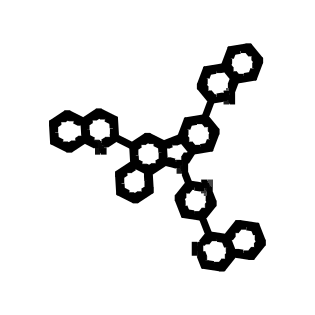 c1ccc2nc(-c3ccc4c(c3)c3cc(-c5ccc6ccccc6n5)c5ccccc5c3n4-c3ccc(-c4nccc5ccccc45)cn3)ccc2c1